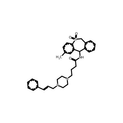 Cc1ccc2c(c1)C(NC(=O)CCCN1CCN(C/C=C/c3ccccc3)CC1)c1ccccc1CS2(=O)=O